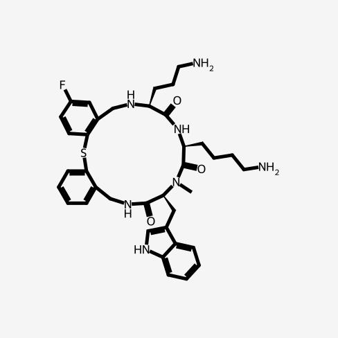 CN1C(=O)[C@H](CCCCN)NC(=O)[C@H](CCCN)NCc2cc(F)ccc2Sc2ccccc2CNC(=O)[C@@H]1Cc1c[nH]c2ccccc12